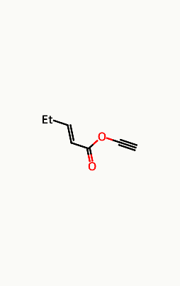 C#COC(=O)C=CCC